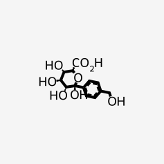 O=C(O)[C@H]1O[C@](O)(c2ccc(CO)cc2)[C@H](O)[C@@H](O)[C@@H]1O